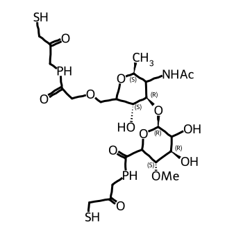 CO[C@@H]1C(C(=O)PCC(=O)CS)O[C@@H](O[C@@H]2C(NC(C)=O)[C@H](C)OC(COCC(=O)PCC(=O)CS)[C@H]2O)C(O)[C@H]1O